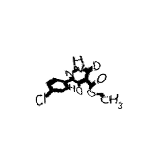 CCOC(=O)c1c(O)c(-c2ccc(Cl)cc2)n[nH]c1=O